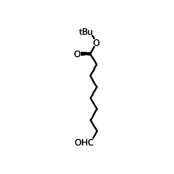 CC(C)(C)OC(=O)CCCCCCCC=O